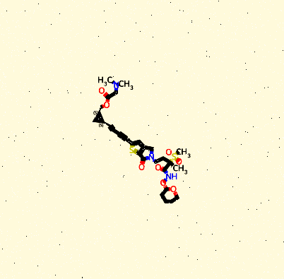 CN(C)CC(=O)OC[C@H]1C[C@@H]1C#CC#Cc1cc2c(s1)C(=O)N(CCC(C)(C(=O)NOC1CCCCO1)S(C)(=O)=O)C2